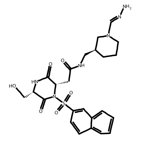 NN=CN1CCC[C@@H](CNC(=O)C[C@H]2C(=O)N[C@@H](CO)C(=O)N2S(=O)(=O)c2ccc3ccccc3c2)C1